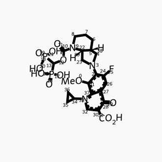 COc1c(N2C[C@H]3CCCN(C(=O)OC(P(=O)(O)O)P(=O)(O)O)[C@H]3C2)c(F)cc2c(=O)c(C(=O)O)cn(C3CC3)c12